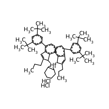 CCCC1=Cc2c(-c3cc(C(C)(C)C)cc(C(C)(C)C)c3)cccc2[CH]1[Hf]1([CH]2C(CCC)=Cc3c(-c4cc(C(C)(C)C)cc(C(C)(C)C)c4)cccc32)[CH]2CCCC[CH]21.Cl.Cl